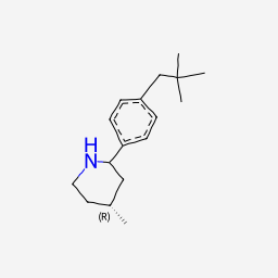 C[C@@H]1CCNC(c2ccc(CC(C)(C)C)cc2)C1